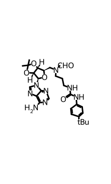 CC1(C)O[C@@H]2[C@H](O1)[C@@H](CN(C=O)CCCNC(=O)Nc1ccc(C(C)(C)C)cc1)O[C@H]2n1cnc2c(N)ncnc21